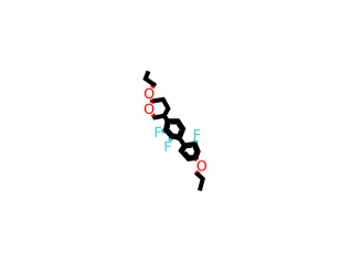 CCCOc1ccc(-c2ccc(C3CCC(OCCC)OC3)c(F)c2F)c(F)c1